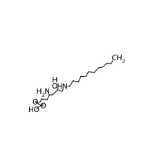 CCCCCCCCCCCCNCC(O)CC(N)CCS(=O)(=O)O